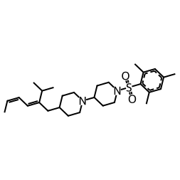 C/C=C\C=C(\CC1CCN(C2CCN(S(=O)(=O)c3c(C)cc(C)cc3C)CC2)CC1)C(C)C